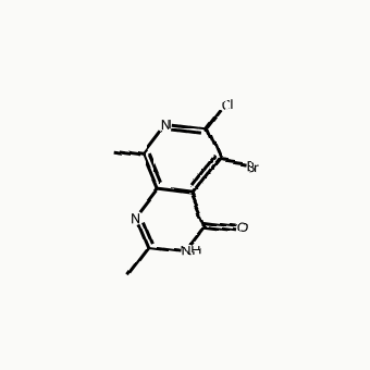 Cc1nc2c(C)nc(Cl)c(Br)c2c(=O)[nH]1